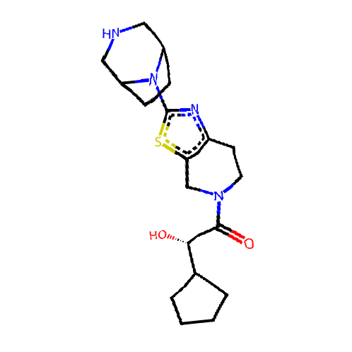 O=C([C@@H](O)C1CCCC1)N1CCc2nc(N3C4CCC3CNC4)sc2C1